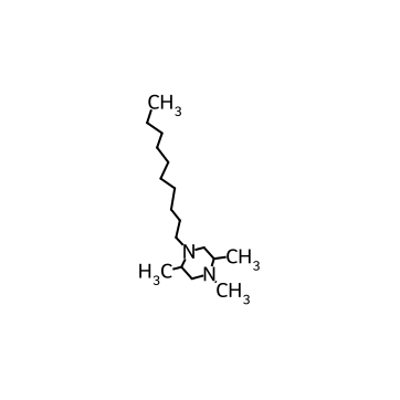 CCCCCCCCCCN1CC(C)N(C)CC1C